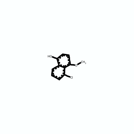 COc1ccc(O)c2cccc(Cl)c12